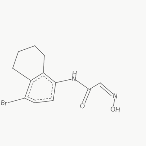 O=C(/C=N\O)Nc1ccc(Br)c2c1CCCC2